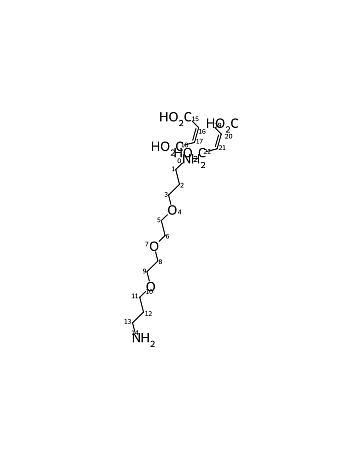 NCCCOCCOCCOCCCN.O=C(O)/C=C\C(=O)O.O=C(O)/C=C\C(=O)O